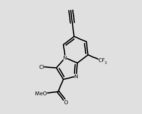 C#Cc1cc(C(F)(F)F)c2nc(C(=O)OC)c(Cl)n2c1